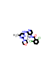 Cc1cc(Nc2cc(NC(=O)c3c(Cl)cccc3Cl)ccn2)nc(N2CCOC[C@H]2C)n1